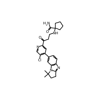 CC1(C)CCc2nc3ccc(-c4cc(C(=O)CCNC5(C(N)=O)CCCC5)ncc4Cl)cc3n21